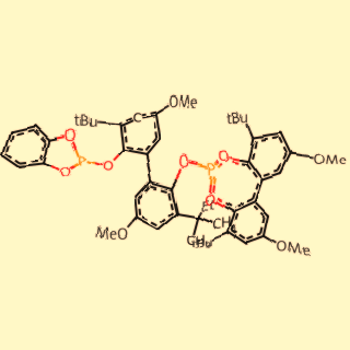 CCC(C)(C)c1cc(OC)cc(-c2cc(OC)cc(C(C)(C)C)c2OP2Oc3ccccc3O2)c1Op1oc2c(C(C)(C)C)cc(OC)cc2c2cc(OC)cc(C(C)(C)C)c2o1